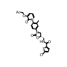 CC(=O)COc1cccn(-c2ccc(N3C[C@H](CNC(=O)c4ccc(Cl)s4)OC3=O)cc2C)c1=O